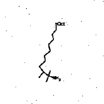 CCCCCCCCCCCCCCCCC(C)C(C)(C)N